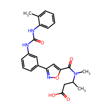 Cc1ccccc1NC(=O)Nc1cccc(-c2cc(C(=O)N(C)C(C)CC(=O)O)on2)c1